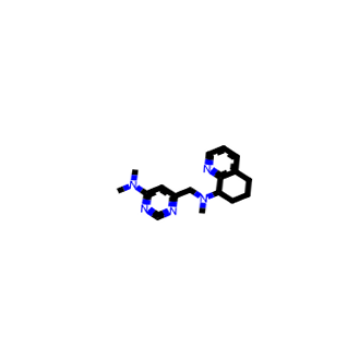 CN(C)c1cc(CN(C)C2CCCc3cccnc32)ncn1